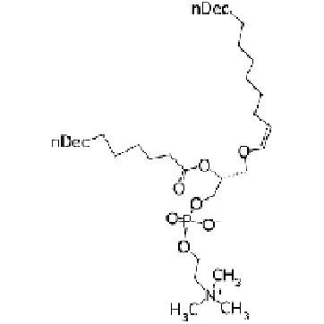 CCCCCCCCCCCCCCCC/C=C\OC[C@H](COP(=O)([O-])OCC[N+](C)(C)C)OC(=O)CCCCCCCCCCCCCCC